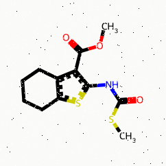 COC(=O)c1c(NC(=O)SC)sc2c1CCCC2